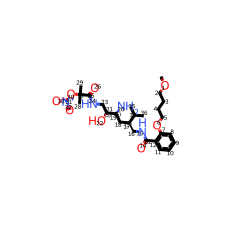 COCCCCOc1ccccc1C(=O)NC[C@@H](C[C@H](N)[C@@H](O)CNC(=O)C(C)(C)O[N+](=O)[O-])C(C)C